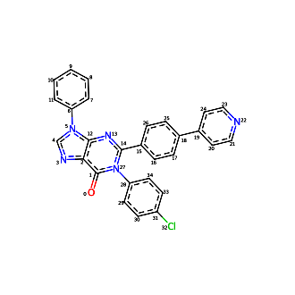 O=c1c2ncn(-c3ccccc3)c2nc(-c2ccc(-c3ccncc3)cc2)n1-c1ccc(Cl)cc1